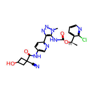 C[C@@H](OC(=O)Nc1c(-c2ccc(NC(=O)C3(C#N)CC(O)C3)cn2)nnn1C)c1cccnc1Cl